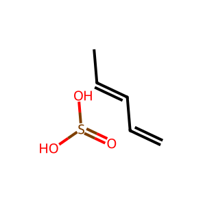 C=CC=CC.O=S(O)O